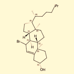 CC(C)CCC[C@@H](C)[C@H]1CC[C@H]2[C@@H]3C(Br)C=C4C[C@@H](O)CC[C@]4(C)[C@H]3CC[C@]12C